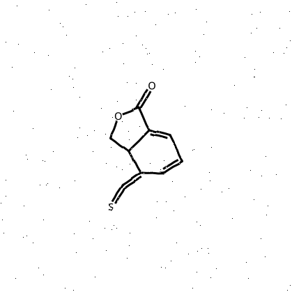 O=C1OCC2C(=C=S)C=CC=C12